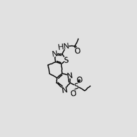 CCS(=O)(=O)c1ncc2c(n1)-c1sc(NC(C)=O)nc1CC2